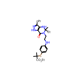 CCCc1n[nH]c2c1NC(C)(CC)N(CCNc1ccc(SC(C)(C)C(=O)OCC)cc1)C2=O